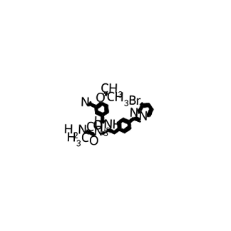 CC(C)Oc1ccc(C(=O)N[C@H](CNC(=O)C(C)(C)N)Cc2ccc(-c3cn4cccc(Br)c4n3)cc2)cc1C#N